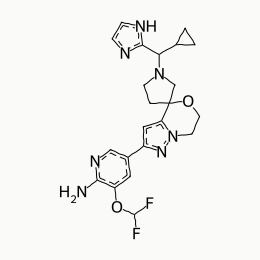 Nc1ncc(-c2cc3n(n2)CCOC32CCN(C(c3ncc[nH]3)C3CC3)C2)cc1OC(F)F